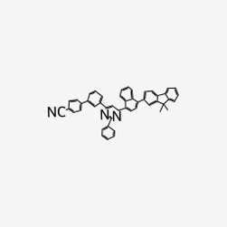 CC1(C)c2ccccc2-c2ccc(-c3ccc(-c4cc(-c5cccc(-c6ccc(C#N)cc6)c5)nc(-c5ccccc5)n4)c4ccccc34)cc21